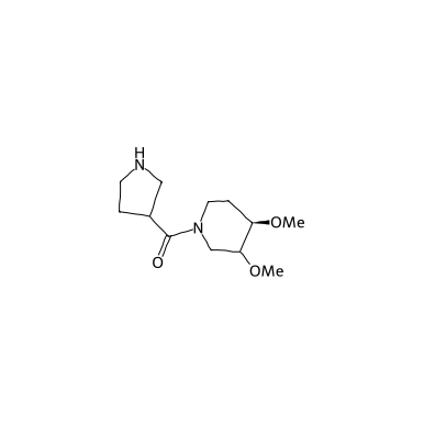 COC1CN(C(=O)C2CCNC2)CC[C@H]1OC